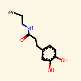 CC(C)CCNC(=O)CCc1ccc(O)c(O)c1